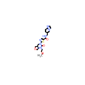 COCCNC(=O)N(CC1CCOC1)c1ncc(C(=O)NCc2ccc3nccn3c2)s1